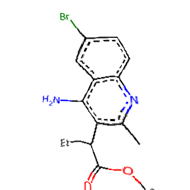 CCC(C(=O)OC(C)(C)C)c1c(C)nc2ccc(Br)cc2c1N